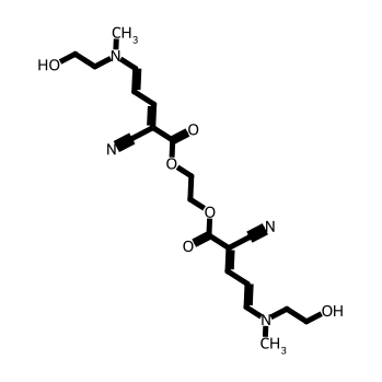 CN(/C=C/C=C(\C#N)C(=O)OCCOC(=O)/C(C#N)=C/C=C/N(C)CCO)CCO